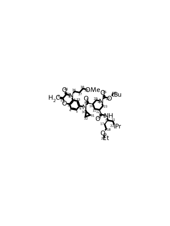 C=C1Oc2ccc(N(C(=O)[C@@H]3C[C@H](C(=O)N[C@H](CCOCC)CC(C)C)CN(C(=O)OC(C)(C)C)C3)C3CC3)cc2N(CCCOC)C1=O